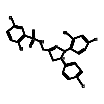 O=S(=O)(NCC1=NN(c2ccc(Cl)cc2Cl)[C@@H](c2ccc(Cl)cc2)C1)c1cc(Cl)ccc1Cl